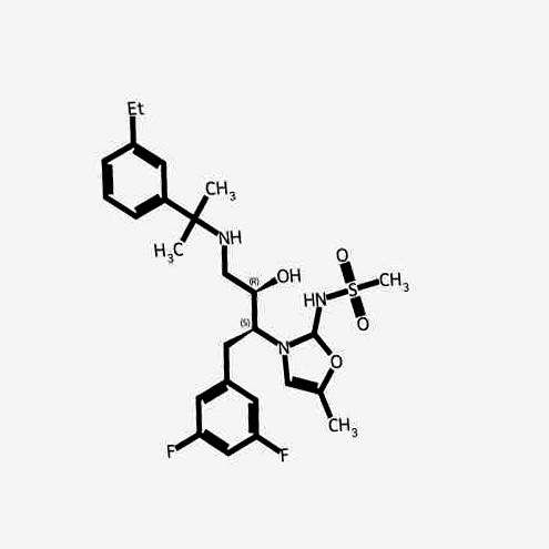 CCc1cccc(C(C)(C)NC[C@@H](O)[C@H](Cc2cc(F)cc(F)c2)N2C=C(C)OC2NS(C)(=O)=O)c1